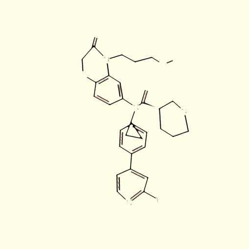 COCCCN1C(=O)COc2ccc(N(C(=O)[C@H]3CNCC[C@@H]3c3cccc(-c4ccnc(F)c4)c3)C3CC3)cc21